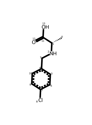 C[C@H](NCc1ccc(Cl)cc1)C(=O)O